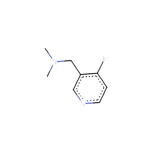 CCc1ccncc1CN(C)C